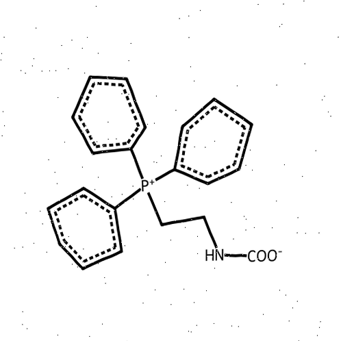 O=C([O-])NCC[P+](c1ccccc1)(c1ccccc1)c1ccccc1